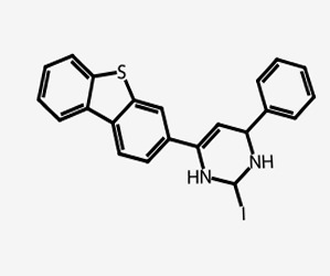 IC1NC(c2ccc3c(c2)sc2ccccc23)=CC(c2ccccc2)N1